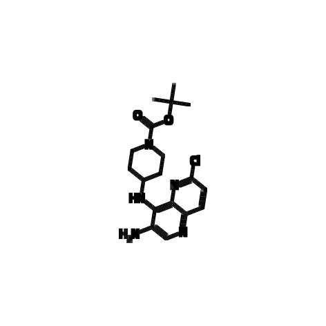 CC(C)(C)OC(=O)N1CCC(Nc2c(N)cnc3ccc(Cl)nc23)CC1